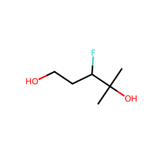 CC(C)(O)C(F)CCO